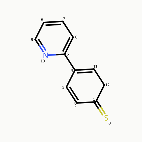 S=C1[C]=CC(c2ccccn2)=CC1